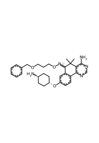 CC1(C)/C(=N/OCCCOCc2ccccc2)c2cc(O[C@H]3CC[C@H](N)CC3)ccc2-c2ncnc(N)c21